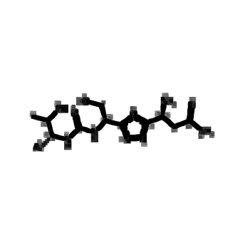 CC(=O)[C@@H](NC(=O)N[C@@H](CO)c1nnc([C@@H](N)CC(N)=O)o1)C(C)O